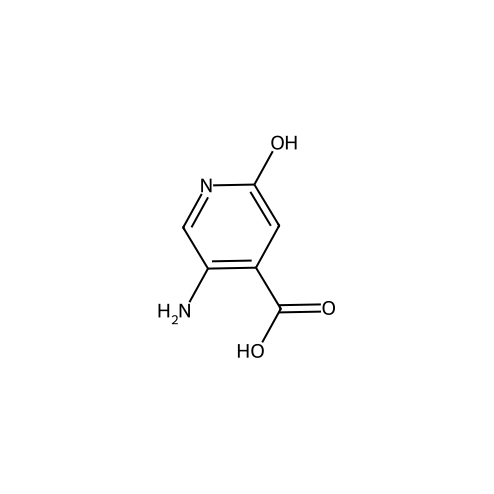 Nc1cnc(O)cc1C(=O)O